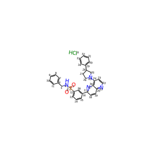 Cl.O=S(=O)(NCc1ccccc1)c1cccc(-c2ccc3nccc(N4CCC(c5ccccc5)C4)c3n2)c1